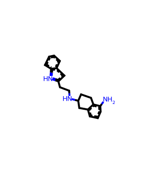 Nc1cccc2c1CCC(NCCc1cc3ccccc3[nH]1)C2